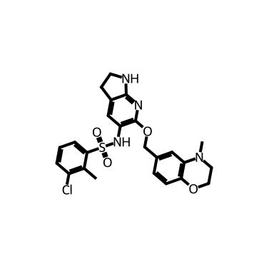 Cc1c(Cl)cccc1S(=O)(=O)Nc1cc2c(nc1OCc1ccc3c(c1)N(C)CCO3)NCC2